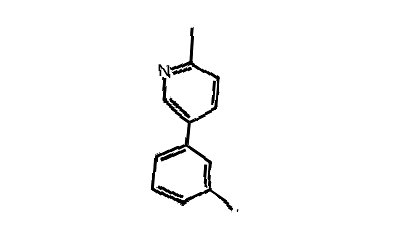 [CH2]c1cccc(-c2ccc(C)nc2)c1